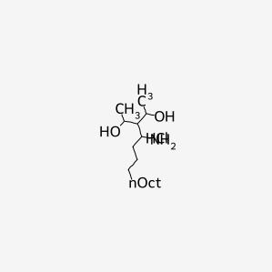 CCCCCCCCCCCC(N)C(C(C)O)C(C)O.Cl